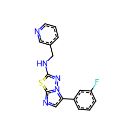 Fc1cccc(-c2cnc3sc(NCc4cccnc4)nn23)c1